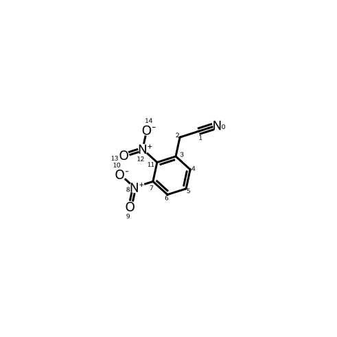 N#CCc1cccc([N+](=O)[O-])c1[N+](=O)[O-]